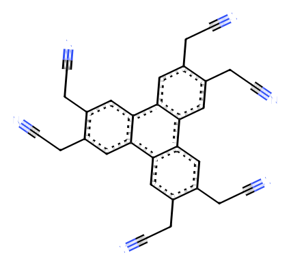 N#CCc1cc2c3cc(CC#N)c(CC#N)cc3c3cc(CC#N)c(CC#N)cc3c2cc1CC#N